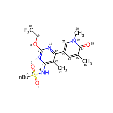 CCCCS(=O)(=O)Nc1nc(OCC(F)(F)F)nc(-c2cc(C)c(=O)n(C)c2)c1C